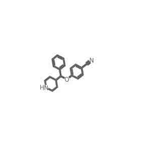 N#Cc1ccc(OC(c2ccccc2)C2CCNCC2)cc1